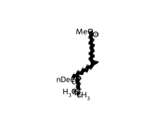 CCCCCCCCCCCC(CCCCCCC1CC1CCCCCCCCCC(=O)OC)OC(=O)CCCN(C)C